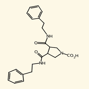 O=C(NCCc1ccccc1)C1CN(C(=O)O)CC1C(=O)NCCc1ccccc1